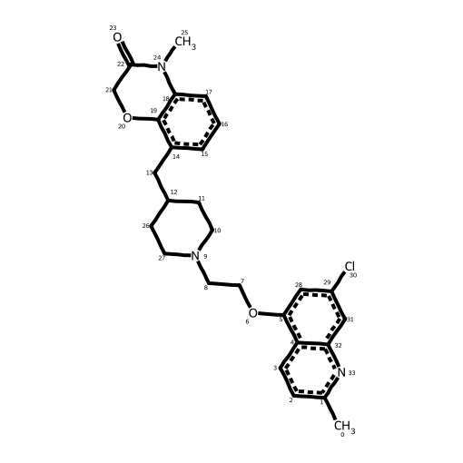 Cc1ccc2c(OCCN3CCC(Cc4cccc5c4OCC(=O)N5C)CC3)cc(Cl)cc2n1